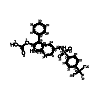 O=C(O)Oc1[nH]c2ncc(NS(=O)(=O)c3ccc(C(F)(F)F)cc3)cc2c1-c1ccccc1